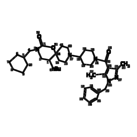 CCCCC1CN(CC2CCCCC2)C(=O)OC12CCN(C1CCN(C(=O)c3c(C)nn(Cc4ccccc4)c3C)CC1)CC2